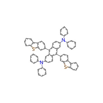 c1ccc(N(c2ccccc2)c2ccc3c(-c4ccc5c(c4)sc4ccccc45)c4cc(N(c5ccccc5)c5ccccc5)ccc4c(-c4ccc5c(c4)sc4ccccc45)c3c2)cc1